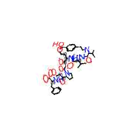 CC[C@H](C)[C@@H]([C@@H](CC(=O)N1CCCC1[C@H](OC)[C@@H](C)C(=O)N[C@@H](Cc1ccccc1)C(=O)OC)OC)N(C)C(=O)[C@@H](NC(=O)C(C(C)C)N(C)CCc1ccc(C(=O)O)cc1)C(C)C